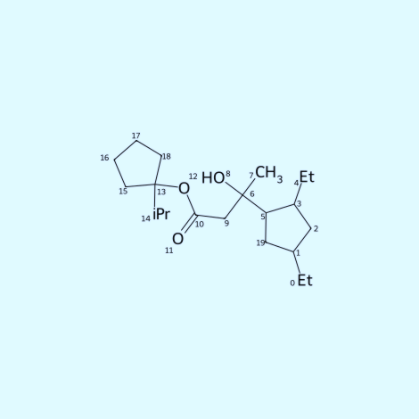 CCC1CC(CC)C(C(C)(O)CC(=O)OC2(C(C)C)CCCC2)C1